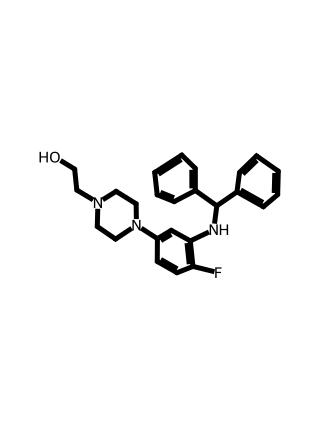 OCCN1CCN(c2ccc(F)c(NC(c3ccccc3)c3ccccc3)c2)CC1